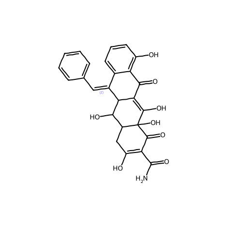 NC(=O)C1=C(O)CC2C(O)C3C(=C(O)C2(O)C1=O)C(=O)c1c(O)cccc1/C3=C\c1ccccc1